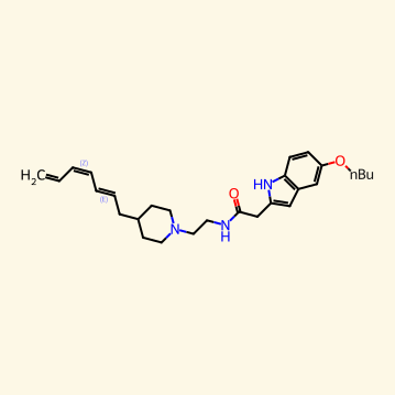 C=C/C=C\C=C\CC1CCN(CCNC(=O)Cc2cc3cc(OCCCC)ccc3[nH]2)CC1